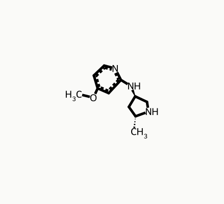 COc1ccnc(N[C@H]2CN[C@H](C)C2)c1